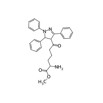 COC(=O)C(N)CCCC(=O)C1C(c2ccccc2)=NN(c2ccccc2)C1c1ccccc1